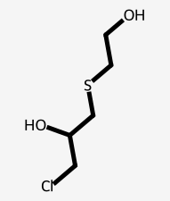 OCCSCC(O)CCl